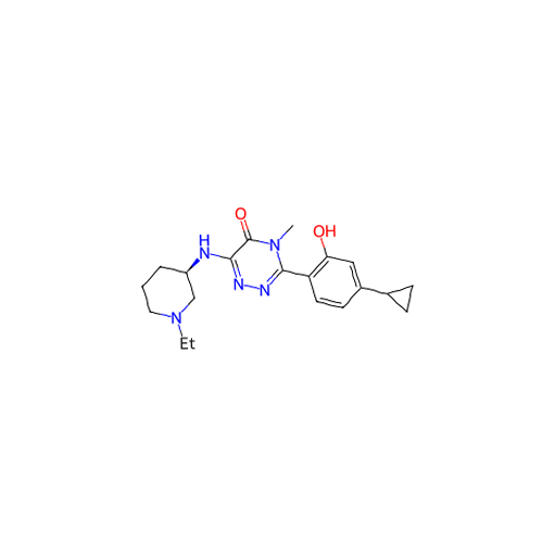 CCN1CCC[C@@H](Nc2nnc(-c3ccc(C4CC4)cc3O)n(C)c2=O)C1